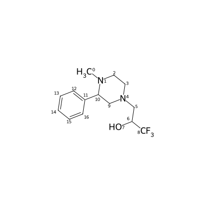 CN1CCN(CC(O)C(F)(F)F)CC1c1ccccc1